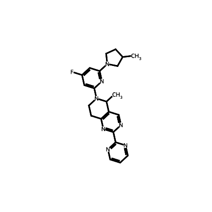 CC1CCN(c2cc(F)cc(N3CCc4nc(-c5ncccn5)ncc4C3C)n2)C1